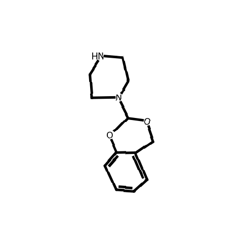 c1ccc2c(c1)COC(N1CCNCC1)O2